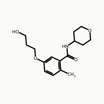 Cc1ccc(OCCCO)cc1C(=O)NC1CCOCC1